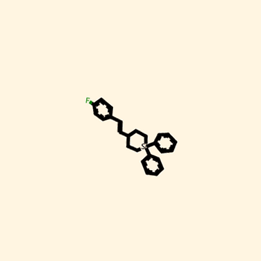 Fc1ccc(C=CC2CC[Si](c3ccccc3)(c3ccccc3)CC2)cc1